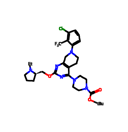 CCN1CCC[C@H]1COc1nc2c(c(N3CCN(C(=O)OC(C)(C)C)CC3)n1)CCN(c1cccc(Cl)c1C(F)(F)F)C2